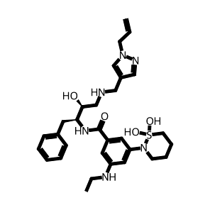 C=CCn1cc(CNC[C@H](O)[C@H](Cc2ccccc2)NC(=O)c2cc(NCC)cc(N3CCCCS3(O)O)c2)cn1